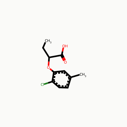 CCC(Oc1cc(C)ccc1Cl)C(=O)O